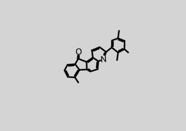 Cc1cc(C)c(C)c(-c2ccc3c4c(ccc3n2)-c2c(C)cccc2C4=O)c1